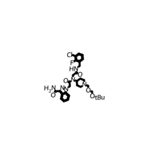 CC(C)(C)OCOCN1CCC(N(CC(=O)NCc2cccc(Cl)c2F)C(=O)Cn2nc(C(N)=O)c3ccccc32)CC1